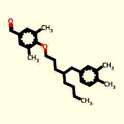 CCCCC(CCCOc1c(C)cc(C=O)cc1C)Cc1ccc(C)c(C)c1